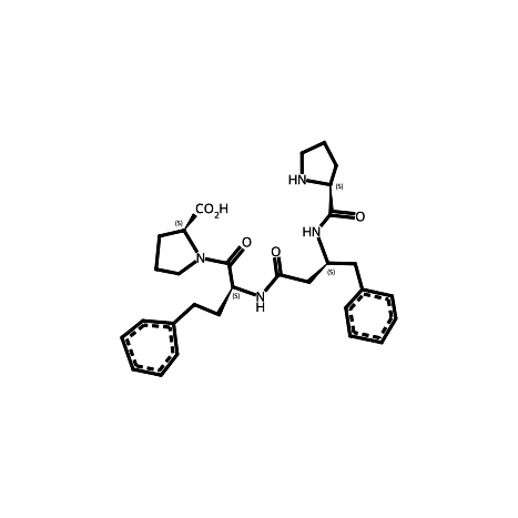 O=C(C[C@H](Cc1ccccc1)NC(=O)[C@@H]1CCCN1)N[C@@H](CCc1ccccc1)C(=O)N1CCC[C@H]1C(=O)O